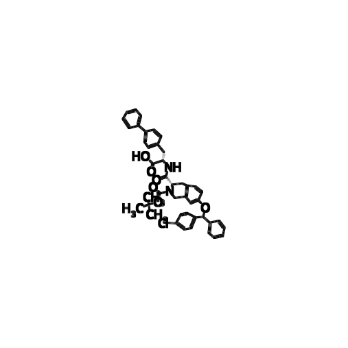 CC(C)(C)OC(=O)N1Cc2cc(OC(c3ccccc3)c3ccc(Cl)cc3)ccc2C[C@H]1C(=O)N[C@@H](Cc1ccc(-c2ccccc2)cc1)C(=O)O